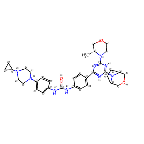 C[C@@H]1COCCN1c1nc(-c2ccc(NC(=O)Nc3ccc(N4CCN(C5CC5)CC4)cc3)cc2)nc(N2C3CCC2COC3)n1